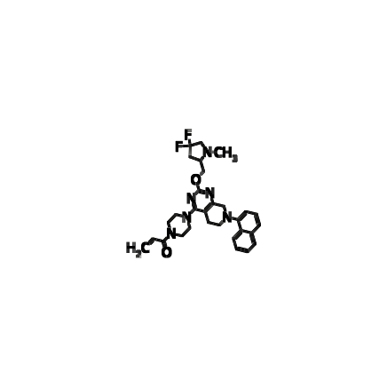 C=CC(=O)N1CCN(c2nc(OCC3CC(F)(F)CN3C)nc3c2CCN(c2cccc4ccccc24)C3)CC1